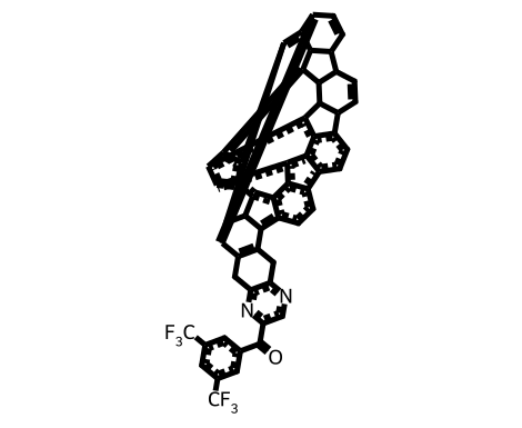 O=C(c1cc(C(F)(F)F)cc(C(F)(F)F)c1)c1cnc2c(n1)CC1=C(C2)C2=c3ccc4c5ccc6c7c8c9c%10c%11c%12c(c3c4c(c%129)c75)C2C2C1=C1C=CC3C(C1=C%112)C=%10C1C3C=CC6C81